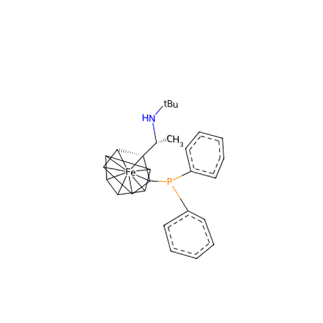 C[C@@H](NC(C)(C)C)[C@@]12[CH]3[CH]4[CH]5[C]1(P(c1ccccc1)c1ccccc1)[Fe]45321678[CH]2[CH]1[CH]6[CH]7[CH]28